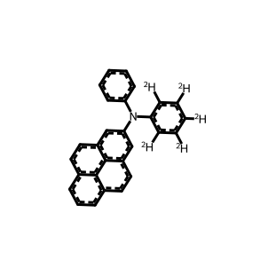 [2H]c1c([2H])c([2H])c(N(c2ccccc2)c2cc3ccc4cccc5ccc(c2)c3c45)c([2H])c1[2H]